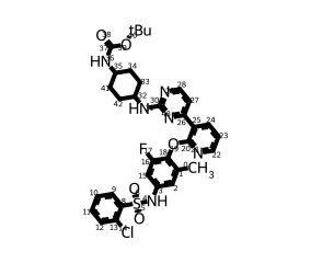 Cc1cc(NS(=O)(=O)c2ccccc2Cl)cc(F)c1Oc1ncccc1-c1ccnc(NC2CCC(NC(=O)OC(C)(C)C)CC2)n1